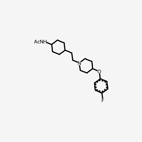 CC(=O)NC1CCC(CCN2CCC(Oc3ccc(F)cc3)CC2)CC1